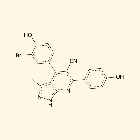 Cc1n[nH]c2nc(-c3ccc(O)cc3)c(C#N)c(-c3ccc(O)c(Br)c3)c12